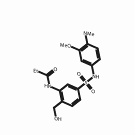 CCC(=O)Nc1cc(S(=O)(=O)Nc2ccc(NC)c(OC)c2)ccc1CO